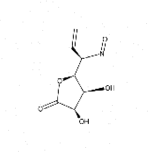 C=C[C@@H](N=O)[C@@H]1OC(=O)[C@H](O)[C@@H]1O